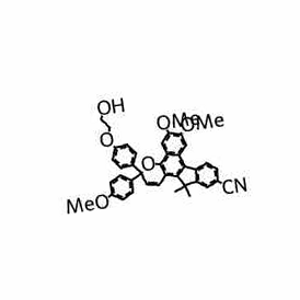 COc1ccc(C2(c3ccc(OCCO)cc3)C=Cc3c4c(c5cc(OC)c(OC)cc5c3O2)-c2ccc(C#N)cc2C4(C)C)cc1